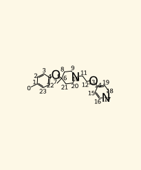 Cc1ccc(OC2(C)CCN(CCOc3ccncc3)CC2)cc1